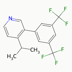 CC(C)c1ccncc1-c1cc(C(F)(F)F)cc(C(F)(F)F)c1